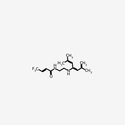 C=C(C)/C=C(\C=C(C)C)NCCNC(=O)/C=C/C(F)(F)F